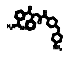 N=C(N)c1cccc(C(=O)N(CC(=O)NC2CCC(CC3CCC(N)CC3)CC2)c2ccccc2)c1